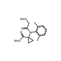 COCC(=O)N(c1c(C)cccc1C)C1(C(=O)OC)CC1